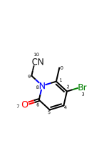 Cc1c(Br)ccc(=O)n1CC#N